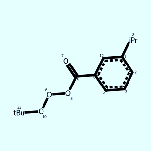 CC(C)c1cccc(C(=O)OOOC(C)(C)C)c1